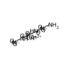 CC(=O)N([O-])CCCCCNC(=O)CCC(=O)N([O-])CCCCCNC(=O)CCC(=O)N([O-])CCCCCN.[H+].[Zn+2]